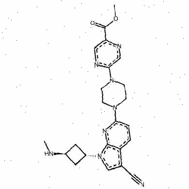 CN[C@H]1C[C@H](n2cc(C#N)c3ccc(N4CCN(c5cnc(C(=O)OC)cn5)CC4)nc32)C1